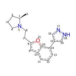 C[C@@H]1CCCN1CCc1cc2cccc(-c3cn[nH]c3)c2o1